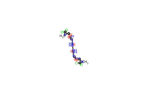 CN1Cc2c(Cl)cc(Cl)cc2C(c2cccc([S+]([O-])NC(=O)C3CCN(CCCNC(=O)NCCCCNC(=O)NCCCN4CCC(C(=O)NS(=O)(=O)c5cccc(C6CN(C)Cc7c(Cl)cc(Cl)cc76)c5)CC4)CC3)c2)C1